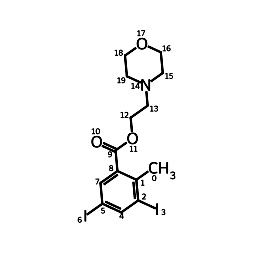 Cc1c(I)cc(I)cc1C(=O)OCCN1CCOCC1